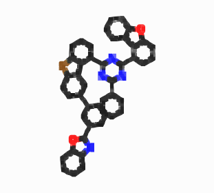 c1ccc(-c2nc(-c3cccc4oc5ccccc5c34)nc(-c3cccc4sc5ccc(-c6cccc(-c7nc8ccccc8o7)c6)cc5c34)n2)cc1